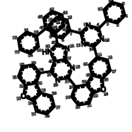 c1ccc(-c2nc(-c3ccccc3)nc(-c3ccc4oc5cccc(-c6nc(-c7cccc8oc9ccccc9c78)c7[nH]c(-c8ccccc8-c8ccccc8)nc7n6)c5c4c3)n2)cc1